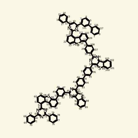 c1ccc(-c2cccc(-c3cc(-c4ccccc4)nc(-c4cccc5sc6c(-c7ccc(-c8nc(-c9ccc(-c%10ccc(-c%11nc(-c%12cccc(-c%13cccc%14c%13sc%13cccc(-c%15nc(-c%16ccccc%16)nc(-c%16ccccc%16)n%15)c%13%14)c%12)nc%12c%11sc%11ccccc%11%12)cc%10)cc9)c9sc%10ccccc%10c9n8)cc7)cccc6c45)n3)c2)cc1